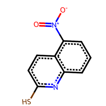 O=[N+]([O-])c1cccc2nc(S)ccc12